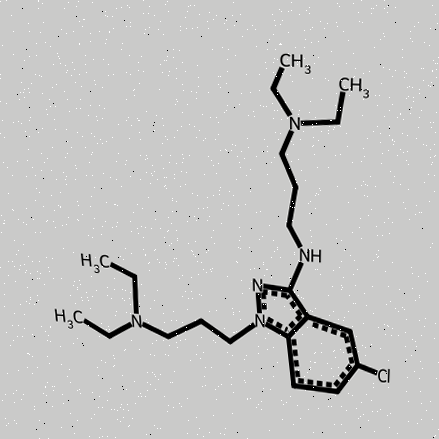 CCN(CC)CCCNc1nn(CCCN(CC)CC)c2ccc(Cl)cc12